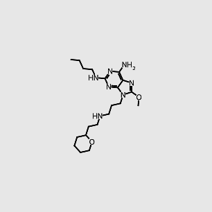 CCCCNc1nc(N)c2nc(OC)n(CCCNCCC3CCCCO3)c2n1